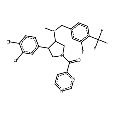 CN(Cc1ccc(C(F)(F)F)c(F)c1)C1CN(C(=O)c2ccncn2)CC1c1ccc(Cl)c(Cl)c1